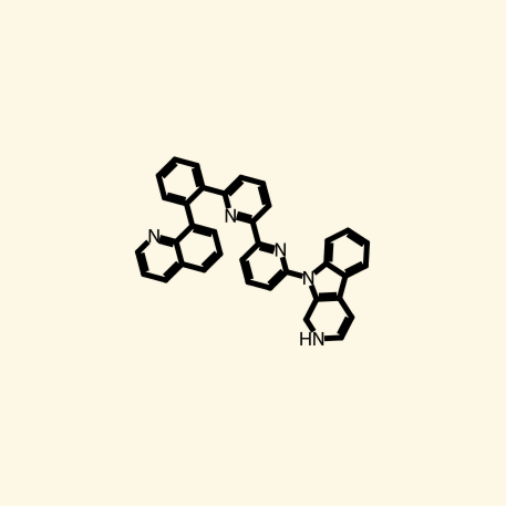 C1=Cc2c(n(-c3cccc(-c4cccc(-c5ccccc5-c5cccc6cccnc56)n4)n3)c3ccccc23)CN1